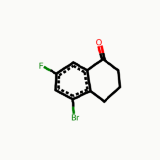 O=C1CCCc2c(Br)cc(F)cc21